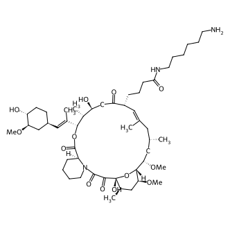 CO[C@H]1C[C@@H](C)C/C(C)=C/[C@@H](CCCC(=O)NCCCCCCN)C(=O)C[C@H](O)[C@@H](C)[C@@H](/C(C)=C/[C@@H]2CC[C@@H](O)[C@H](OC)C2)OC(=O)[C@@H]2CCCCN2C(=O)C(=O)[C@]2(O)O[C@H]1[C@@H](OC)C[C@H]2C